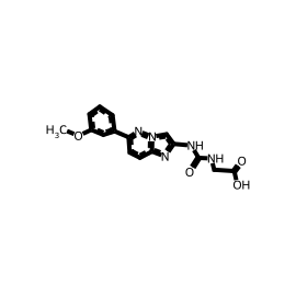 COc1cccc(-c2ccc3nc(NC(=O)NCC(=O)O)cn3n2)c1